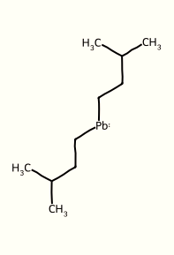 CC(C)C[CH2][Pb][CH2]CC(C)C